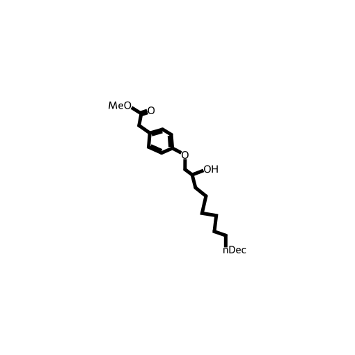 CCCCCCCCCCCCCCCCC(O)COc1ccc(CC(=O)OC)cc1